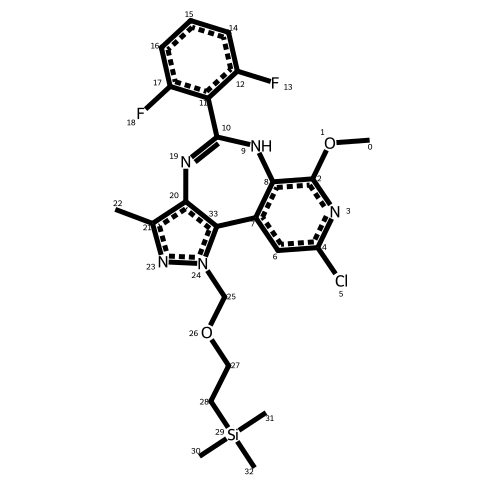 COc1nc(Cl)cc2c1NC(c1c(F)cccc1F)=Nc1c(C)nn(COCC[Si](C)(C)C)c1-2